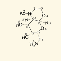 CC(=O)N1CCO[C@H]2O[C@H](CN)[C@H](O)[C@H](O)[C@H]21